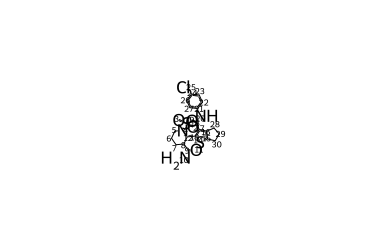 CS(=O)(=O)N1CCCC(C(N)=O)C1c1sc2c(c1C(=O)Nc1ccc(Cl)cc1)CCC2